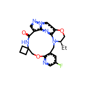 CC[C@@H]1COc2cn3ncc4c3nc2N1Cc1cc(F)cnc1OCC1(CCC1)NC4=O